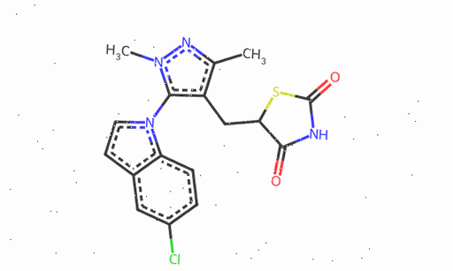 Cc1nn(C)c(-n2ccc3cc(Cl)ccc32)c1CC1SC(=O)NC1=O